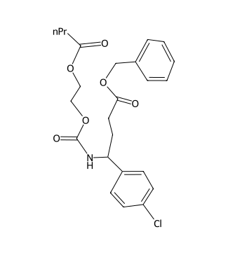 CCCC(=O)OCCOC(=O)NC(CCC(=O)OCc1ccccc1)c1ccc(Cl)cc1